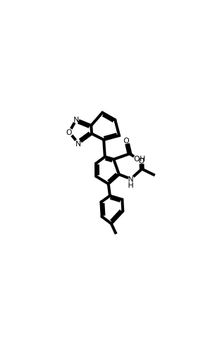 CC(=O)Nc1c(-c2ccc(C)cc2)ccc(-c2cccc3nonc23)c1C(=O)O